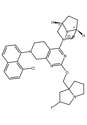 O=C(O)N1[C@@H]2CC[C@H]1CN(c1nc(OCC34CCCN3CC(F)C4)nc3c1CCN(c1cccc4cccc(Cl)c14)C3)C2